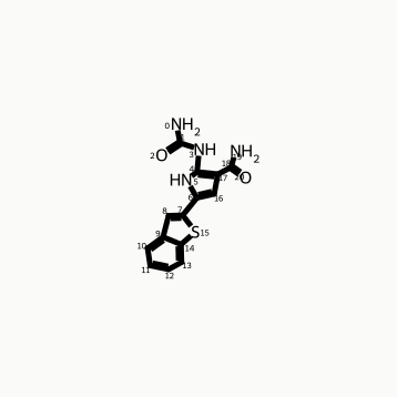 NC(=O)Nc1[nH]c(-c2cc3ccccc3s2)cc1C(N)=O